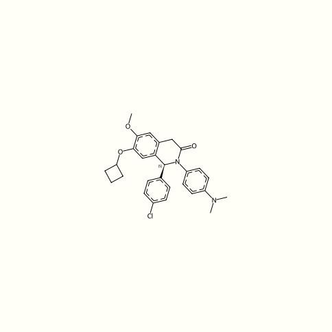 COc1cc2c(cc1OC1CCC1)[C@H](c1ccc(Cl)cc1)N(c1ccc(N(C)C)cc1)C(=O)C2